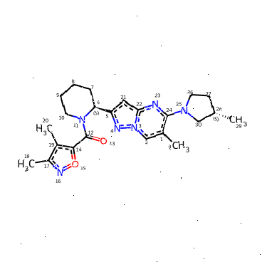 Cc1cn2nc([C@@H]3CCCCN3C(=O)c3onc(C)c3C)cc2nc1N1CC[C@H](C)C1